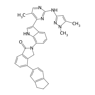 Cc1cnc(Nc2cc(C)n(C)n2)nc1-c1c[nH]c2c(N3Cc4c(cccc4-c4ccc5c(c4)CCC5)C3=O)cccc12